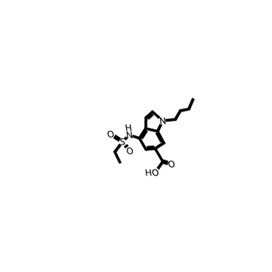 CCCCn1ccc2c(NS(=O)(=O)CC)cc(C(=O)O)cc21